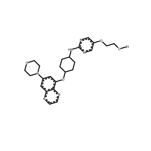 CCOCCOc1cnc(NC2CCC(Oc3cc(N4CCOCC4)cc4nccnc34)CC2)nc1